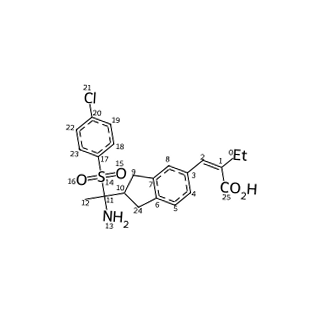 CCC(=Cc1ccc2c(c1)CC(C(C)(N)S(=O)(=O)c1ccc(Cl)cc1)C2)C(=O)O